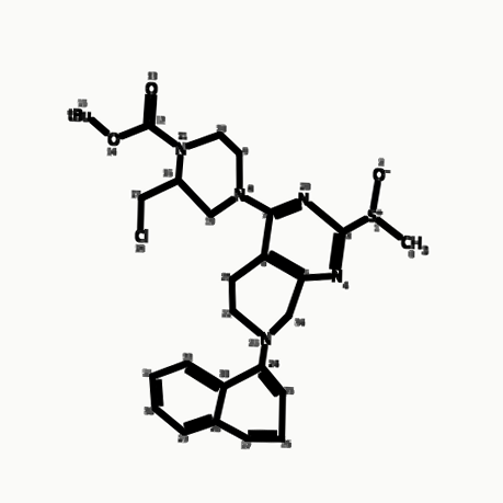 C[S+]([O-])c1nc2c(c(N3CCN(C(=O)OC(C)(C)C)C(CCl)C3)n1)CCN(c1cccc3ccccc13)C2